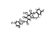 O=C(NCc1c(F)cc(F)cc1F)c1cn2c(c(O)c1=O)C(=O)N1CC2CCc2cc(F)ccc21